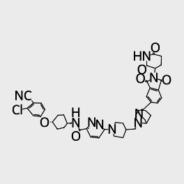 N#Cc1ccc(O[C@H]2CC[C@H](NC(=O)c3ccc(N4CCC(CN5CC6CCC5CN6c5ccc6c(c5)C(=O)N(C5CCC(=O)NC5=O)C6=O)CC4)nn3)CC2)cc1Cl